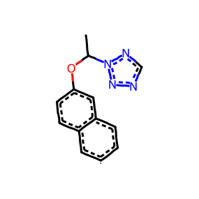 CC(Oc1ccc2c[c]ccc2c1)n1ncnn1